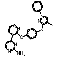 Cc1cn(-c2ccccc2)nc1Nc1ccc(Oc2ncccc2-c2ccnc(N)n2)cc1